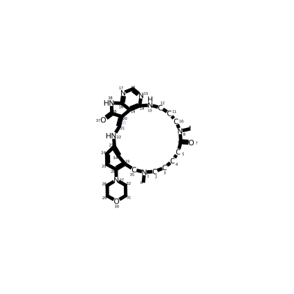 CN1CCCCC(=O)N(C)CCCNc2ncnc3c2/C(=C/Nc2ccc(N4CCOCC4)c(c2)C1)C(=O)N3